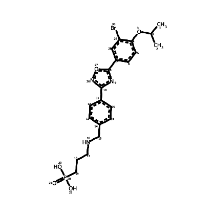 CC(C)Oc1ccc(-c2nc(-c3ccc(CNCCCP(=O)(O)O)cc3)no2)cc1Br